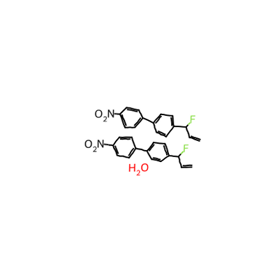 C=CC(F)c1ccc(-c2ccc([N+](=O)[O-])cc2)cc1.C=CC(F)c1ccc(-c2ccc([N+](=O)[O-])cc2)cc1.O